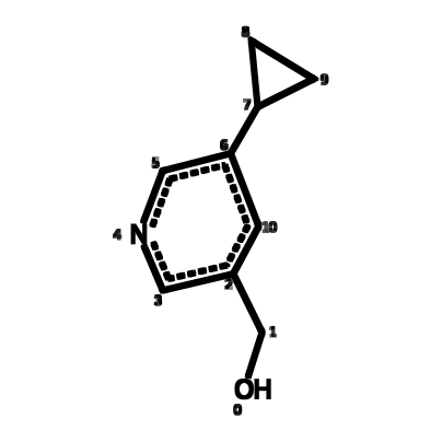 OCc1cncc(C2CC2)c1